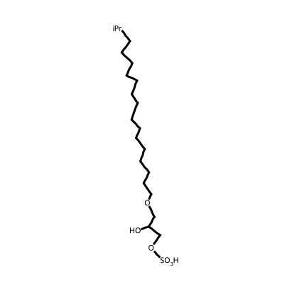 CC(C)CCCCCCCCCCCCCCCOCC(O)COS(=O)(=O)O